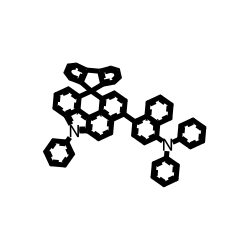 c1ccc(N(c2ccccc2)c2ccc(-c3ccc4c5c3ccc3c5c5c(cccc5n3-c3ccccc3)C43c4ccccc4-c4ccccc43)c3ccccc23)cc1